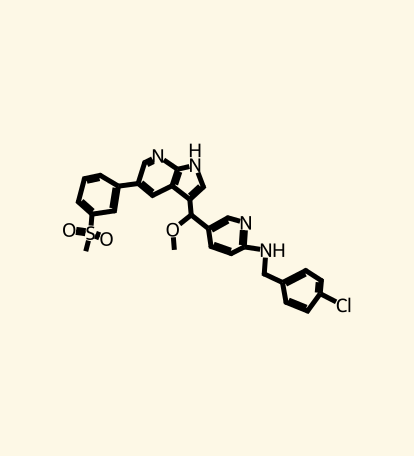 COC(c1ccc(NCc2ccc(Cl)cc2)nc1)c1c[nH]c2ncc(-c3cccc(S(C)(=O)=O)c3)cc12